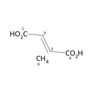 C.O=C(O)C=CC(=O)O